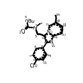 CCCCC(=O)N(C)Cc1c(-c2ccc(Cl)cc2)nc2ccc(C)cn12